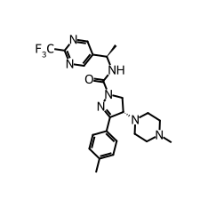 Cc1ccc(C2=NN(C(=O)N[C@H](C)c3cnc(C(F)(F)F)nc3)C[C@@H]2N2CCN(C)CC2)cc1